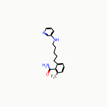 NC(=O)c1c([CH]CCCCNc2cccnc2)cccc1C(F)(F)F